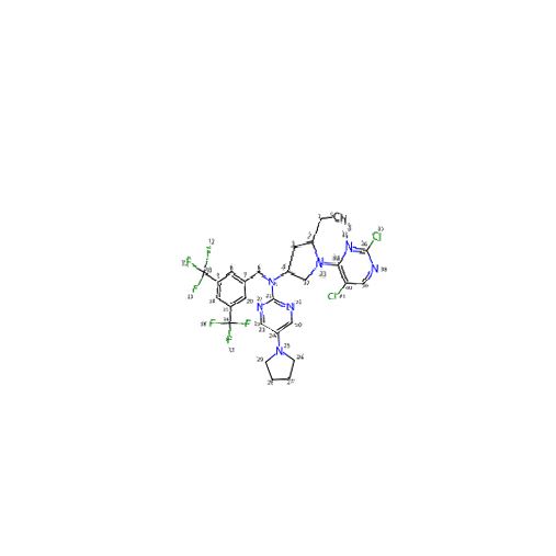 CCC1CC(N(Cc2cc(C(F)(F)F)cc(C(F)(F)F)c2)c2ncc(N3CCCC3)cn2)CN1c1nc(Cl)ncc1Cl